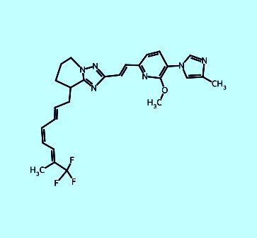 COc1nc(/C=C/c2nc3n(n2)CCCC3C/C=C/C=C\C=C(/C)C(F)(F)F)ccc1-n1cnc(C)c1